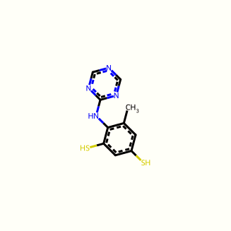 Cc1cc(S)cc(S)c1Nc1ncncn1